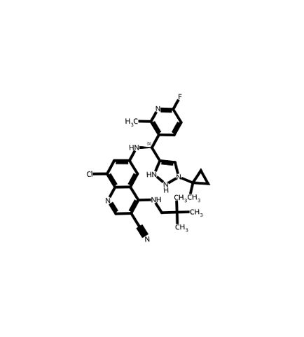 Cc1nc(F)ccc1[C@H](Nc1cc(Cl)c2ncc(C#N)c(NCC(C)(C)C)c2c1)C1=CN(C2(C)CC2)NN1